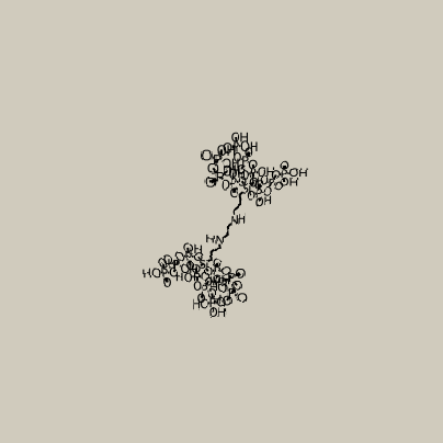 O=P(O)(O)OP(=O)(O)OP(=O)(O)O[Si](CCCNCCNCCC[Si](OP(=O)(O)OP(=O)(O)OP(=O)(O)O)(OP(=O)(O)OP(=O)(O)OP(=O)(O)O)OP(=O)(O)OP(=O)(O)OP(=O)(O)O)(OP(=O)(O)OP(=O)(O)OP(=O)(O)O)OP(=O)(O)OP(=O)(O)OP(=O)(O)O